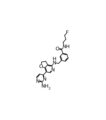 Nc1nccc(-c2cnc(NCc3cccc(C(=O)NCCCF)c3)c3c2OCC3)n1